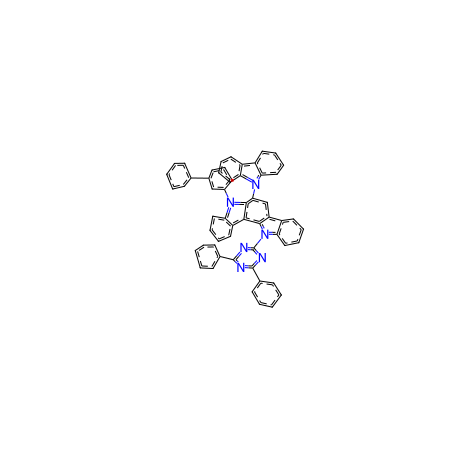 c1ccc(-c2cccc(-n3c4ccccc4c4c3c(-n3c5ccccc5c5ccccc53)cc3c5ccccc5n(-c5nc(-c6ccccc6)nc(-c6ccccc6)n5)c34)c2)cc1